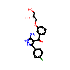 Nc1[nH]nc(-c2ccc(F)cc2)c1C(=O)c1cccc(OC[C@H](O)CO)c1